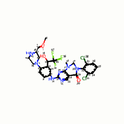 COC[C@H]1CN(c2ccc(Nc3ncc4c(n3)N(C)CN(c3c(Cl)cccc3Cl)C4=O)cc2C(O)C(F)(F)F)CCN1